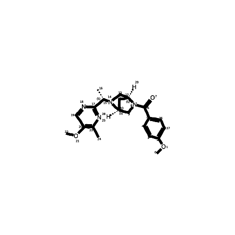 COc1ccc(C(=O)N2C[C@@H]3C[C@H]2CN3[C@@H](C)c2ncc(OC)c(C)n2)cc1